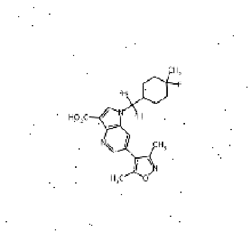 [2H]C([2H])(C1CCC(C)(F)CC1)n1cc(C(=O)O)c2ncc(-c3c(C)noc3C)cc21